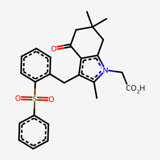 Cc1c(Cc2ccccc2S(=O)(=O)c2ccccc2)c2c(n1CC(=O)O)CC(C)(C)CC2=O